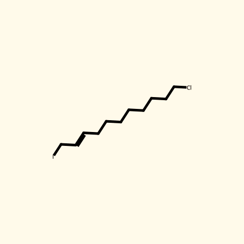 ClCCCCCCCCC=CCI